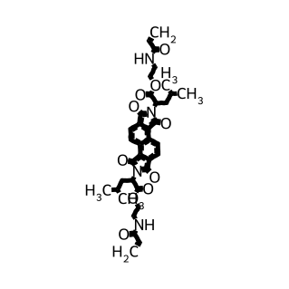 C=CC(=O)NCCOC(=O)C(CC(C)C)n1c(=O)c2ccc3c(ccc4c(=O)n(C(CC(C)C)C(=O)OCCNC(=O)C=C)c(=O)c43)c2c1=O